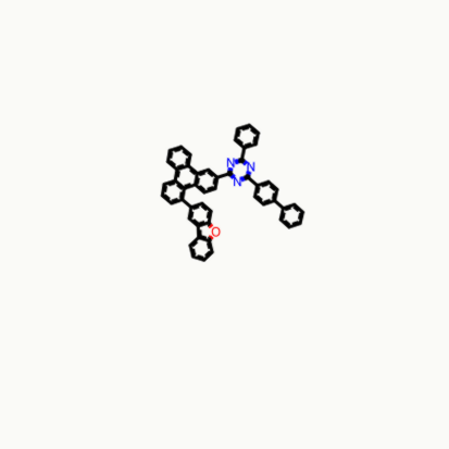 c1ccc(-c2ccc(-c3nc(-c4ccccc4)nc(-c4ccc5c(c4)c4ccccc4c4cccc(-c6ccc7oc8ccccc8c7c6)c45)n3)cc2)cc1